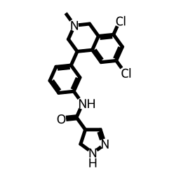 CN1Cc2c(Cl)cc(Cl)cc2C(c2cccc(NC(=O)C3C=NNC3)c2)C1